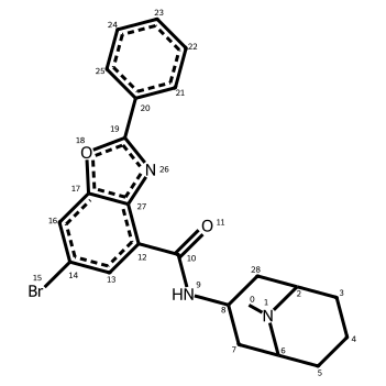 CN1C2CCCC1CC(NC(=O)c1cc(Br)cc3oc(-c4ccccc4)nc13)C2